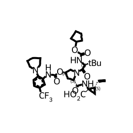 C=C[C@@H]1C[C@]1(NC(=O)[C@@H]1C[C@@H](OC(=O)Nc2cc(C(F)(F)F)ccc2N2CCCCC2)CN1C(=O)[C@@H](NC(=O)OC1CCCC1)C(C)(C)C)C(=O)O